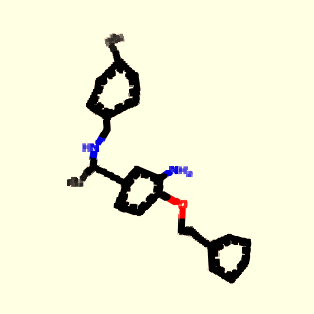 CCCCc1ccc(CNC(CCCC)c2ccc(OCc3ccccc3)c(N)c2)cc1